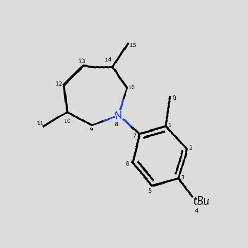 Cc1cc(C(C)(C)C)ccc1N1CC(C)CCC(C)C1